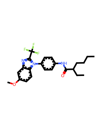 CCCCC(CC)C(=O)Nc1ccc(-n2c(C(F)(F)F)nc3cc(OC)ccc32)cc1